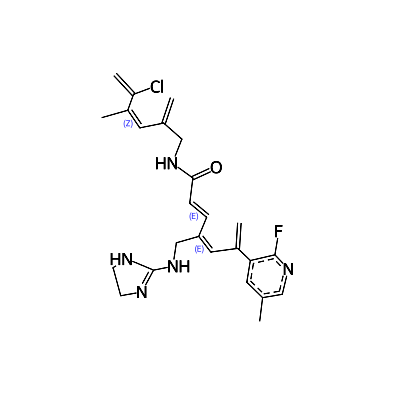 C=C(/C=C(/C)C(=C)Cl)CNC(=O)/C=C/C(=C\C(=C)c1cc(C)cnc1F)CNC1=NCCN1